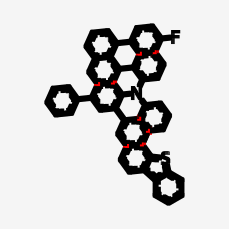 Fc1ccc(-c2cccc3cccc(-c4ccccc4N(c4cccc(-c5cccc6c5sc5ccccc56)c4)c4ccc(-c5ccccc5)cc4-c4ccccc4)c23)cc1